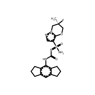 C[C@]1(F)COc2c(S(N)(=O)=NC(=O)Nc3c4c(cc5c3CCC5)CCC4)cnn2C1